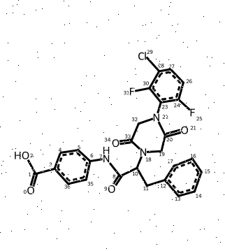 O=C(O)c1ccc(NC(=O)C(Cc2ccccc2)N2CC(=O)N(c3c(F)ccc(Cl)c3F)CC2=O)cc1